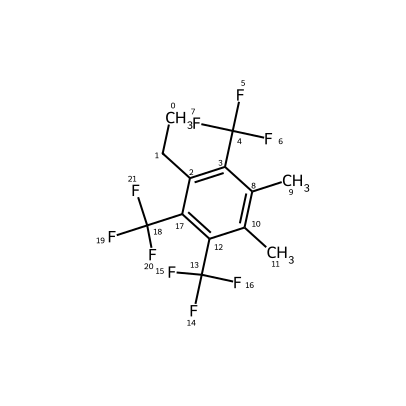 CCc1c(C(F)(F)F)c(C)c(C)c(C(F)(F)F)c1C(F)(F)F